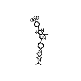 Cc1nc(-c2ccc(N3CC4(C3)CN(C(C)C)C4)cc2)cc2c1nc(-c1ccc(S(C)(=O)=O)cc1)n2C